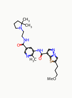 COCCCc1cn2ncc(C(=O)Nc3cc(C(=O)NCCN4CCCC4(C)C)cnc3C)c2s1